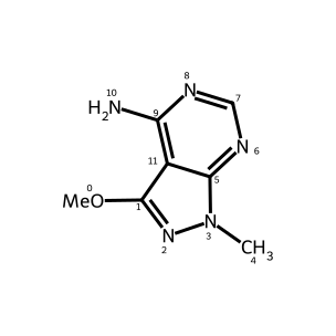 COc1nn(C)c2ncnc(N)c12